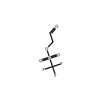 O=[C]COS(=O)(=O)C(F)(F)F